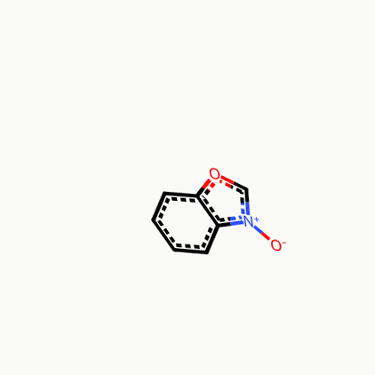 [O-][n+]1coc2ccccc21